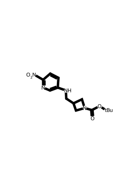 CC(C)(C)OC(=O)N1CC(CNc2ccc([N+](=O)[O-])nc2)C1